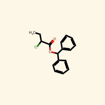 CCC(Cl)C(=O)OC(c1ccccc1)c1ccccc1